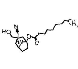 CCCCCCCCC(=O)OC12CCC(CC(C#N)(CO)C1)N2